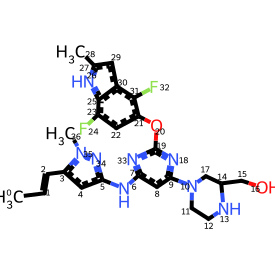 C/C=C/c1cc(Nc2cc(N3CCNC(CO)C3)nc(Oc3cc(F)c4[nH]c(C)cc4c3F)n2)nn1C